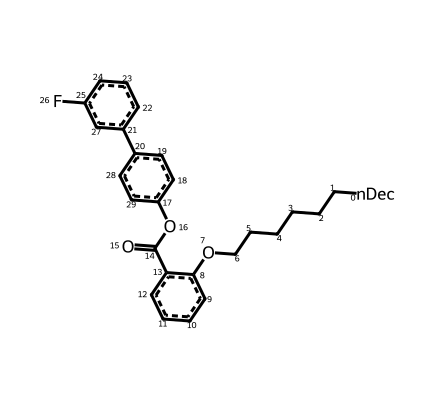 CCCCCCCCCCCCCCCCOc1ccccc1C(=O)Oc1ccc(-c2cccc(F)c2)cc1